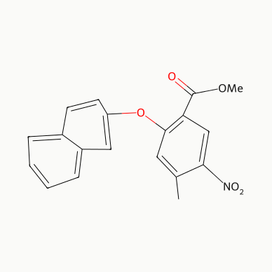 COC(=O)c1cc([N+](=O)[O-])c(C)cc1Oc1ccc2ccccc2c1